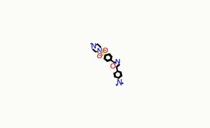 CN1CCN(S(=O)(=O)c2ccc(-c3ncc(-c4ccc(N(C)C)cc4)o3)cc2)CC1